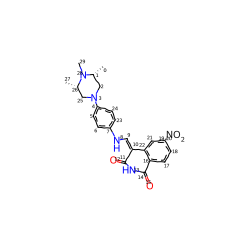 C[C@@H]1CN(c2ccc(N/C=C3\C(=O)NC(=O)c4ccc([N+](=O)[O-])cc43)cc2)C[C@H](C)N1C